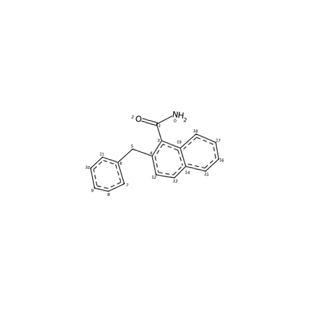 NC(=O)c1c(Cc2ccccc2)ccc2ccccc12